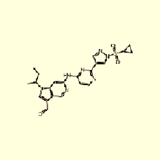 CCC(C)n1cc(C=O)c2cnc(Nc3ccnc(-c4cnn(S(=O)(=O)C5CC5)c4)n3)cc21